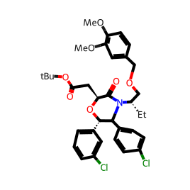 CC[C@@H](COCc1ccc(OC)c(OC)c1)N1C(=O)[C@H](CC(=O)OC(C)(C)C)O[C@@H](c2cccc(Cl)c2)C1c1ccc(Cl)cc1